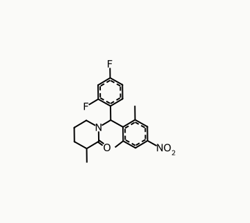 Cc1cc([N+](=O)[O-])cc(C)c1C(c1ccc(F)cc1F)N1CCCC(C)C1=O